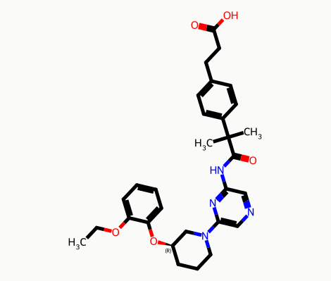 CCOc1ccccc1O[C@@H]1CCCN(c2cncc(NC(=O)C(C)(C)c3ccc(CCC(=O)O)cc3)n2)C1